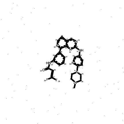 CN1CCN(c2ccc(Nc3ncc4ccnc(-c5cccc(NC(=O)C=C(F)F)c5)c4n3)cn2)CC1